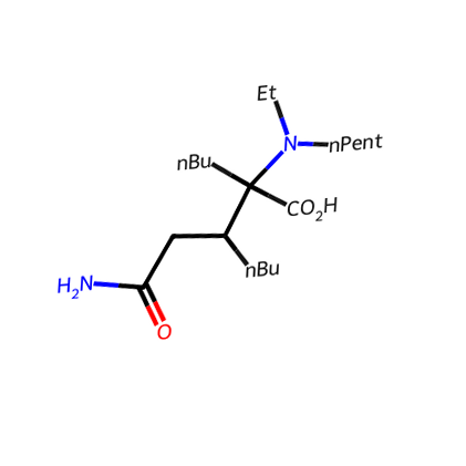 CCCCCN(CC)C(CCCC)(C(=O)O)C(CCCC)CC(N)=O